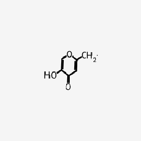 [CH2]c1cc(=O)c(O)co1